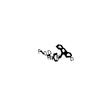 O=C(COCCF)NC1CCN(CC23CC(c4ccccc42)c2ccc(Cl)cc23)CC1